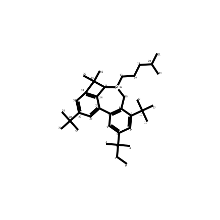 CCC(C)(C)c1cc2c(c(C(C)(C)C)c1)CP(CCCC(C)C)C1c3c-2cc(C(C)(C)C)cc3C1(C)C